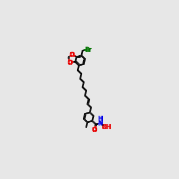 CC1C=CC(CC=CCCCCCCCc2ccc(CBr)c3c2OCO3)CC1C(=O)NO